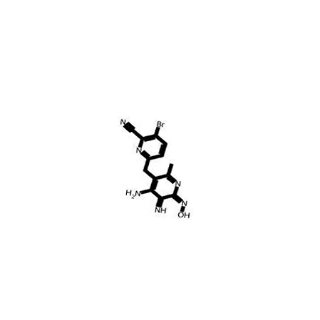 CC1=N/C(=N/O)C(=N)C(N)=C1Cc1ccc(Br)c(C#N)n1